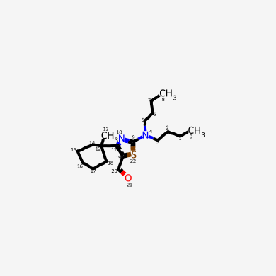 CCCCN(CCCC)c1nc(C2(C)CCCCC2)c(C=O)s1